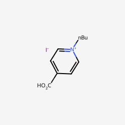 CCCC[n+]1ccc(C(=O)O)cc1.[I-]